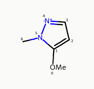 COC1=CC=[N+]N1C